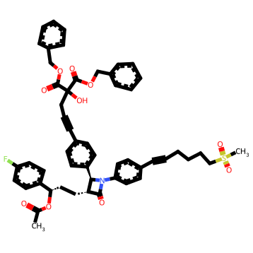 CC(=O)O[C@@H](CC[C@H]1C(=O)N(c2ccc(C#CCCCCS(C)(=O)=O)cc2)[C@@H]1c1ccc(C#CCC(O)(C(=O)OCc2ccccc2)C(=O)OCc2ccccc2)cc1)c1ccc(F)cc1